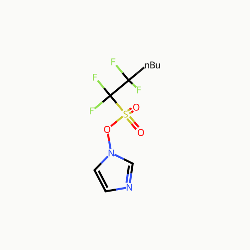 CCCCC(F)(F)C(F)(F)S(=O)(=O)On1ccnc1